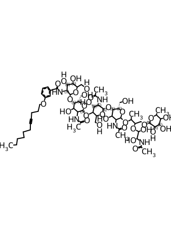 CCCCCCC#CCCCOc1cccc(C(=O)N[C@@H]2C(O[C@H]3C(O)C(NC(C)=O)[C@H](OC4C(CO)O[C@@H](O[C@H]5C(O)C(NC(C)=O)C(OC(C)C(CO[C@@H]6OC(C)C(O)[C@H](O)[C@H]6O)OC(O)C(O)NC(C)=O)O[C@H]5CO)[C@@H](NC(C)=O)[C@H]4O)O[C@H]3CO)OC(CO)[C@@H](O)[C@@H]2O)c1